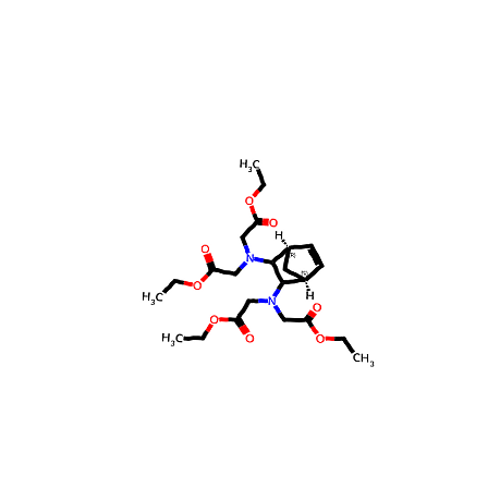 CCOC(=O)CN(CC(=O)OCC)C1C(N(CC(=O)OCC)CC(=O)OCC)[C@H]2C=C[C@@H]1C2